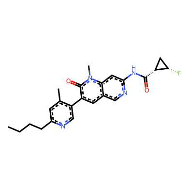 CCCCc1cc(C)c(-c2cc3cnc(NC(=O)[C@@H]4C[C@@H]4F)cc3n(C)c2=O)cn1